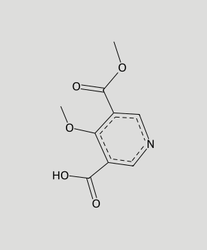 COC(=O)c1cncc(C(=O)O)c1OC